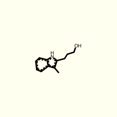 Cc1c(CCCO)[nH]c2ccccc12